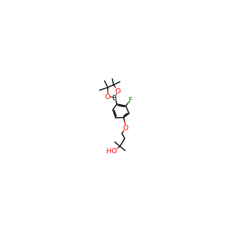 CC(C)(O)CCOc1ccc(B2OC(C)(C)C(C)(C)O2)c(F)c1